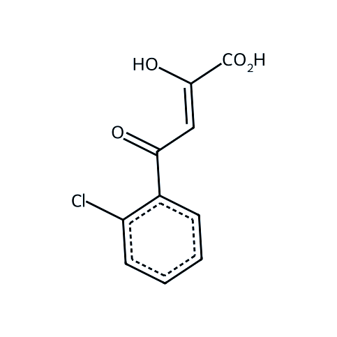 O=C(O)/C(O)=C/C(=O)c1ccccc1Cl